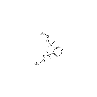 CC(C)(C)OOC(C)(C)c1ccccc1C(C)(C)OOC(C)(C)C